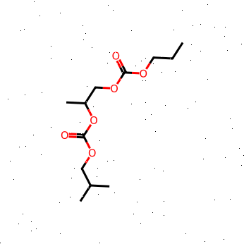 CCCOC(=O)OCC(C)OC(=O)OCC(C)C